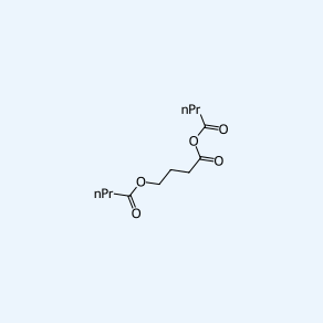 CCCC(=O)OCCCC(=O)OC(=O)CCC